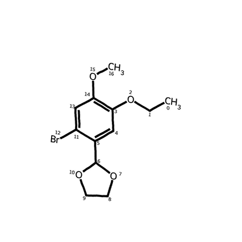 CCOc1cc(C2OCCO2)c(Br)cc1OC